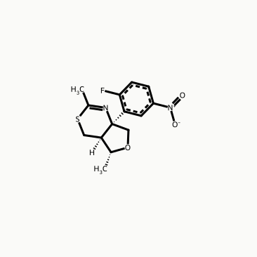 CC1=N[C@@]2(c3cc([N+](=O)[O-])ccc3F)CO[C@H](C)[C@H]2CS1